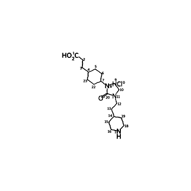 Cl.O=C(O)CCC1CCC(N2CCN(CCC3CCNCC3)C2=O)CC1